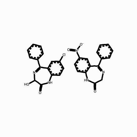 O=C1CN=C(c2ccccc2)c2cc([N+](=O)[O-])ccc2N1.O=C1Nc2ccc(Cl)cc2C(c2ccccc2)=NC1O